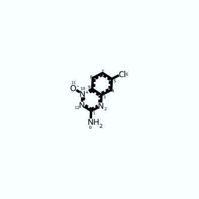 Nc1nc2cc(Cl)ccc2[n+]([O-])n1